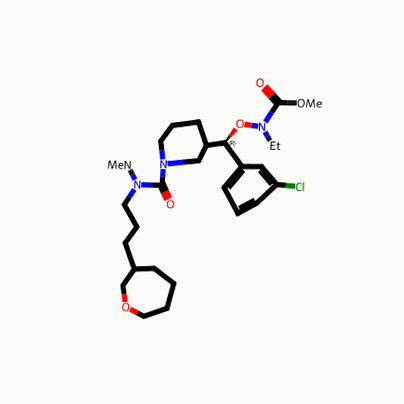 CCN(O[C@@H](c1cccc(Cl)c1)C1CCCN(C(=O)N(CCCC2CCCCOC2)NC)C1)C(=O)OC